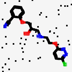 N#Cc1ccccc1OCC(O)CNCCOc1ccc(Cl)nn1